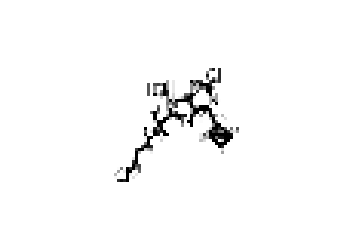 CC(C)(OCCCCl)c1nc2c(N3CC4CC3C4)nc(Cl)nc2[nH]1.Cl